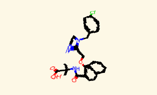 CC(C)(NC(=O)c1ccc2ccccc2c1OCc1nccn1Cc1ccc(Cl)cc1)C(=O)O